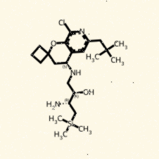 CC(C)(C)Cc1cc2c(c(Cl)n1)OC1(CCC1)C[C@@H]2NC[C@@H](O)[C@@H](N)C[Si](C)(C)C